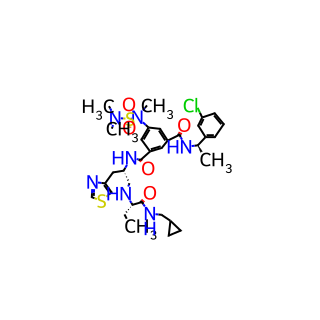 CC[C@H](NC[C@H](Cc1cscn1)NC(=O)c1cc(C(=O)N[C@H](C)c2cccc(Cl)c2)cc(N(C)S(=O)(=O)N(C)C)c1)C(=O)NCC1CC1